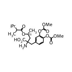 COC(=O)Oc1ccc(CC(N)(C[C@H](C)OC(=O)C(C)C(C)C)C(=O)O)cc1OC(=O)OC